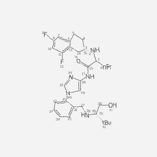 CCCC(N[C@H]1CCc2cc(F)cc(F)c2C1)C(=O)Nc1cn(-c2ccccc2CN[C@H](CO)C(C)(C)C)cn1